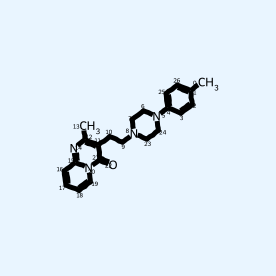 Cc1ccc(N2CCN(CCc3c(C)nc4ccccn4c3=O)CC2)cc1